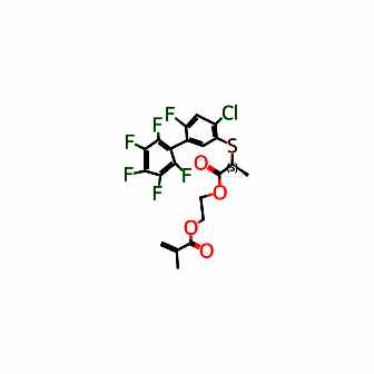 C=C(C)C(=O)OCCOC(=O)[C@H](C)Sc1cc(-c2c(F)c(F)c(F)c(F)c2F)c(F)cc1Cl